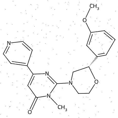 COc1cccc([C@H]2CN(c3nc(-c4ccncc4)cc(=O)n3C)CCO2)c1